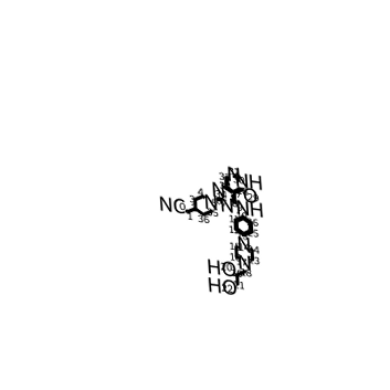 N#CCC1CCN(c2nc(Nc3ccc(N4CCN(C[C@@H](O)CO)CC4)cc3)c3c(=O)[nH]ncc3n2)CC1